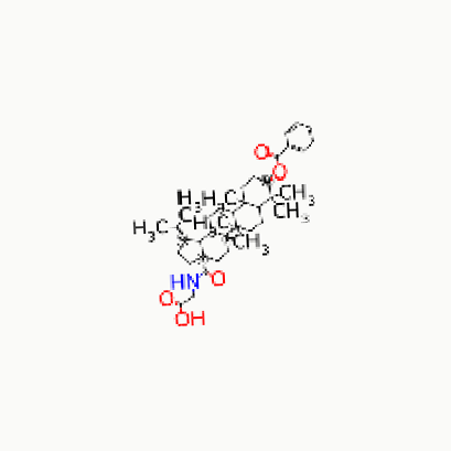 CC(C)[C@@H]1CC[C@]2(C(=O)NCC(=O)O)CC[C@]3(C)C(CCC4C5(C)CC[C@@H](OC(=O)c6ccccc6)C(C)(C)C5CC[C@]43C)C12